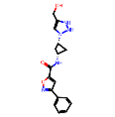 O=C(N[C@H]1C[C@@H](N2C=C(CO)NN2)C1)c1cc(-c2ccccc2)no1